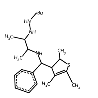 CCC(C)NNC(C)C(C)NC(c1ccccc1)C1C(C)=C(C)SC1C